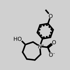 COc1ccc([N+]2(C(=O)[O-])CCCCC(O)C2)cc1